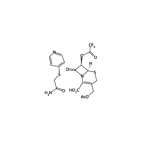 CC(=O)OCC1=C(C(=O)O)N2C(=O)[C@@H](OC(=O)C(F)(F)F)[C@H]2SC1.NC(=O)CSc1ccncc1